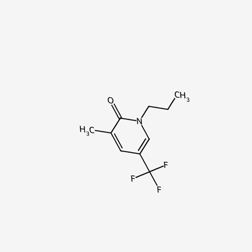 CCCn1cc(C(F)(F)F)cc(C)c1=O